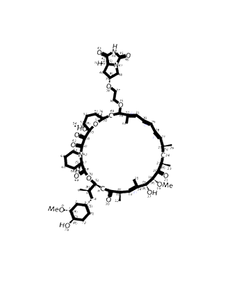 CO[C@@H]1C[C@H](C[C@@H](C)[C@@H]2CC(=O)[C@H](C)/C=C(\C)[C@@H](O)[C@@H](OC)C(=O)[C@H](C)C[C@H](C)/C=C/C=C/C=C(\C)C(OCCO[C@@H]3C[C@H]4C(=O)NC(=O)N4C3)C[C@@H]3CC[C@@H](C)[C@@](O)(O3)C(=O)C(=O)N3CCCC[C@H]3C(=O)O2)CC[C@H]1O